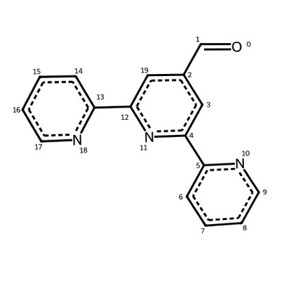 O=Cc1cc(-c2ccccn2)nc(-c2ccccn2)c1